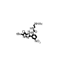 CC(=O)NCCNC(=O)Nc1ccc([N+](=O)[O-])cc1-c1nn2nc(C(C)(C)C)c(Cl)c2[nH]1